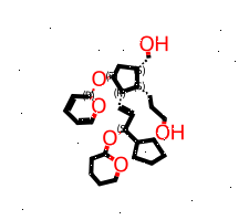 OCCC[C@H]1[C@@H](CO)C[C@@H](O[C@H]2C=CC=CO2)[C@H]1C=C[C@@H](OC1CCCCO1)C1CCCC1